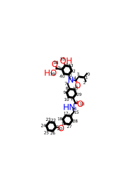 CC(C)=CC(=O)N(Cc1ccc(C(=O)NCc2ccc(Oc3ccccc3)cc2)cc1)c1ccc(O)c(C(=O)O)c1